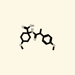 COc1ccc(C(C)C(=O)NC2(C(=O)O)CCC(OC)CC2)cc1